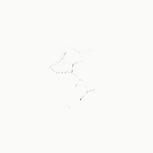 CC(=O)Nc1cc2c(B3OC(C)(C)C(C)(C)O3)c[nH]c2cn1